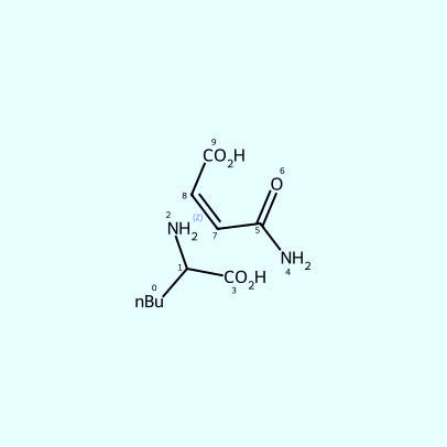 CCCCC(N)C(=O)O.NC(=O)/C=C\C(=O)O